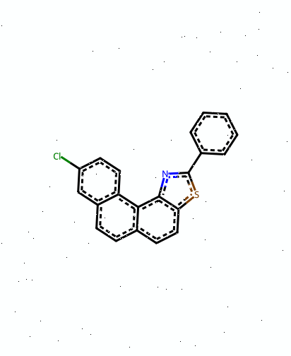 Clc1ccc2c(ccc3ccc4sc(-c5ccccc5)nc4c32)c1